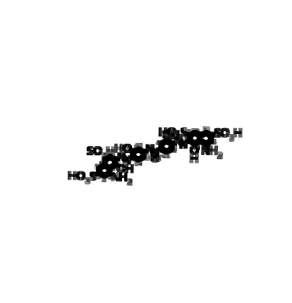 Nc1cc(S(=O)(=O)O)cc2cc(S(=O)(=O)O)c(/N=N/c3ccc(/N=[N+](\[O-])c4ccc(/N=N/c5c(S(=O)(=O)O)cc6cc(S(=O)(=O)O)cc(N)c6c5O)c(O)c4)cc3O)c(O)c12